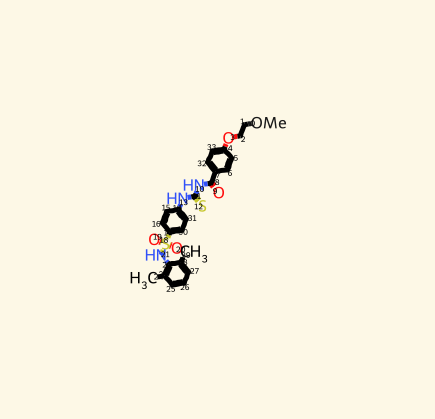 COCCOc1ccc(C(=O)NC(=S)Nc2ccc(S(=O)(=O)Nc3c(C)cccc3C)cc2)cc1